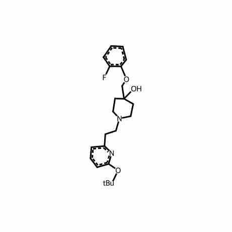 CC(C)(C)Oc1cccc(CCN2CCC(O)(COc3ccccc3F)CC2)n1